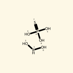 OBO.OP(O)(O)=S